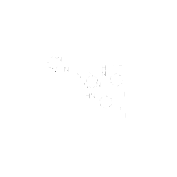 COc1ccc(Nc2nc(Nc3cc(C)ccc3C)nc(N3CCN(c4ncccn4)CC3)n2)cc1